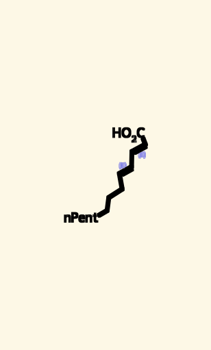 CCCCCCCC/C=C/C=C/C(=O)O